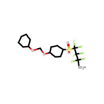 O=S(=O)(O)C(F)(F)C(F)(F)C(F)(F)S(=O)(=O)C1CCC(OCOC2CCCCC2)CC1